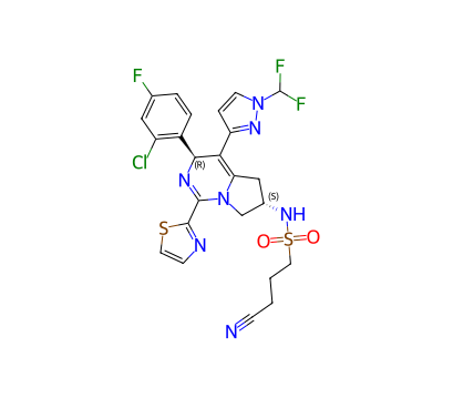 N#CCCCS(=O)(=O)N[C@H]1CC2=C(c3ccn(C(F)F)n3)[C@H](c3ccc(F)cc3Cl)N=C(c3nccs3)N2C1